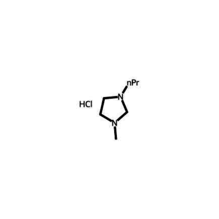 CCCN1CCN(C)C1.Cl